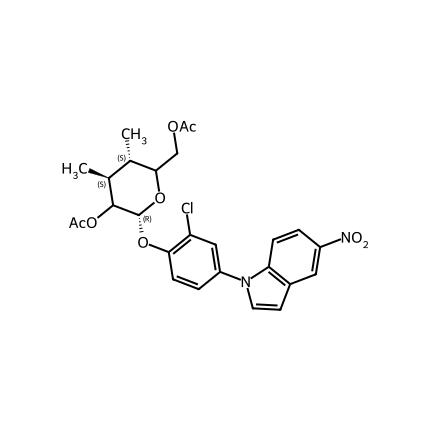 CC(=O)OCC1O[C@H](Oc2ccc(-n3ccc4cc([N+](=O)[O-])ccc43)cc2Cl)C(OC(C)=O)[C@@H](C)[C@@H]1C